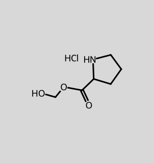 Cl.O=C(OCO)C1CCCN1